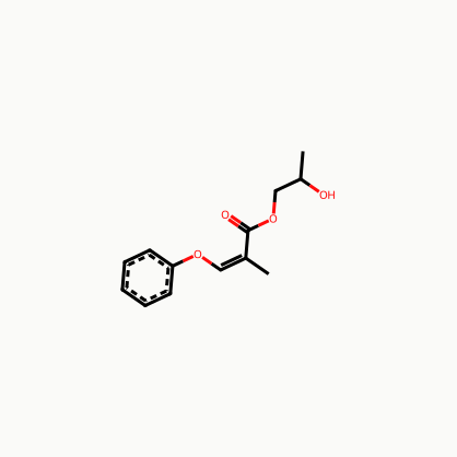 CC(=COc1ccccc1)C(=O)OCC(C)O